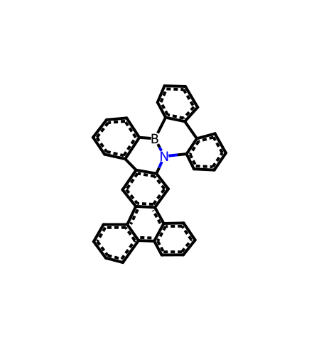 c1ccc2c(c1)B1c3ccccc3-c3cc4c5ccccc5c5ccccc5c4cc3N1c1ccccc1-2